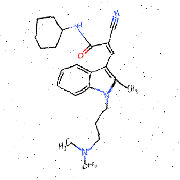 Cc1c(/C=C(/C#N)C(=O)NC2CCCCC2)c2ccccc2n1CCCN(C)C